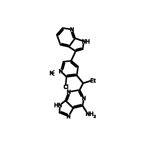 CCC(c1nc(N)c2nc[nH]c2n1)c1cc(-c2c[nH]c3ncccc23)cnc1Cl.[N]